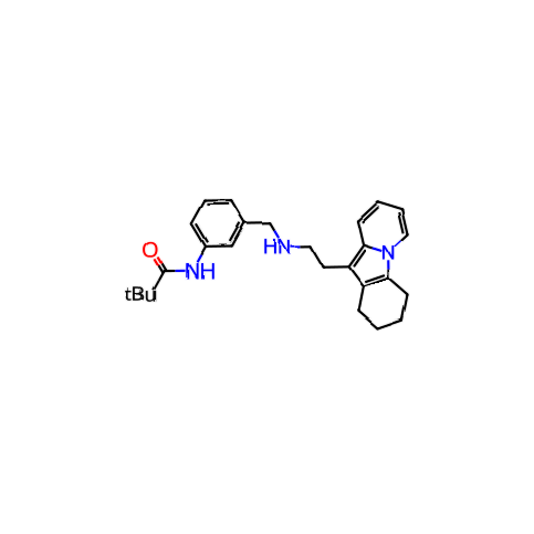 CC(C)(C)C(=O)Nc1cccc(CNCCc2c3c(n4ccccc24)CCCC3)c1